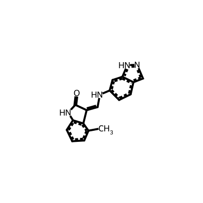 Cc1cccc2c1C(=CNc1ccc3cn[nH]c3c1)C(=O)N2